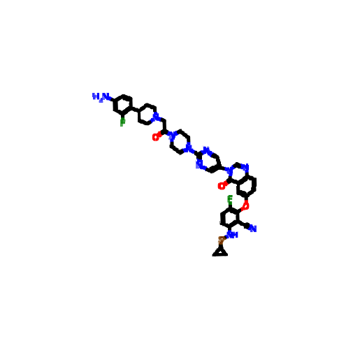 N#Cc1c(NSC2CC2)ccc(F)c1Oc1ccc2ncn(-c3cnc(N4CCN(C(=O)CN5CCC(c6ccc(N)cc6F)CC5)CC4)nc3)c(=O)c2c1